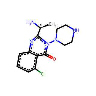 C[C@H](N)c1nc2cccc(Cl)c2c(=O)n1N1CCNCC1